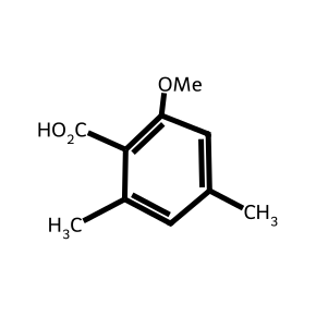 COc1cc(C)cc(C)c1C(=O)O